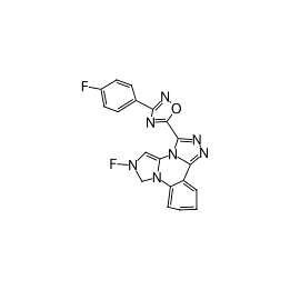 Fc1ccc(-c2noc(-c3nnc4n3C3=CN(F)CN3c3ccccc3-4)n2)cc1